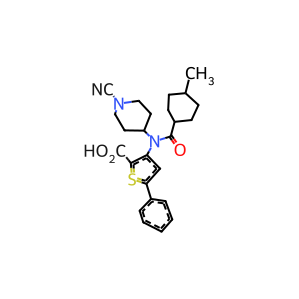 CC1CCC(C(=O)N(c2cc(-c3ccccc3)sc2C(=O)O)C2CCN(C#N)CC2)CC1